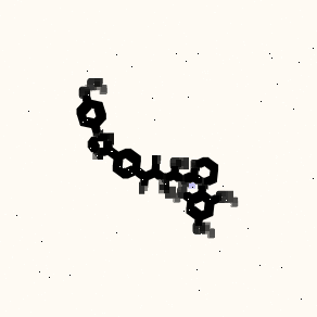 Cc1cc(C)c(N2CCCS/C2=N\C(O)NC(F)C(F)c2ccc(-c3ncn(-c4ccc(OC(F)(F)F)cc4)n3)cc2)c(C)c1